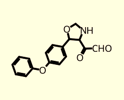 O=CC(=O)C1NCOC1c1ccc(Oc2ccccc2)cc1